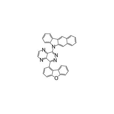 c1ccc2cc3c(cc2c1)c1ccccc1n3-c1nnc(-c2cccc3oc4ccccc4c23)c2nccnc12